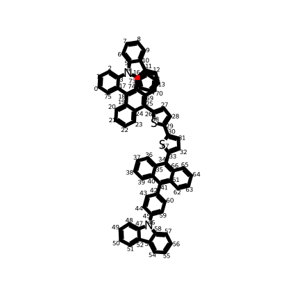 c1ccc(-n2c3ccccc3c3ccccc32)c(-c2c3ccccc3c(-c3ccc(-c4ccc(-c5c6ccccc6c(-c6ccc(-n7c8ccccc8c8ccccc87)cc6)c6ccccc56)s4)s3)c3ccccc23)c1